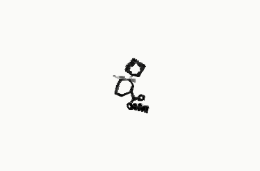 COC(=O)C1=C[C@@H](c2ccccc2)[C@@H](C)C=CC1